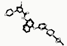 CC1OC(N2CCN(c3nccc(Oc4ccc(NC(=O)c5cc(F)cc(N6CCOCC6)c5)c5ccccc45)n3)CC2)O1